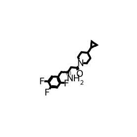 N[C@@H](CC(=O)N1CCC(C2CC2)CC1)Cc1cc(F)c(F)cc1F